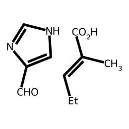 CCC=C(C)C(=O)O.O=Cc1c[nH]cn1